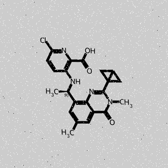 Cc1cc([C@@H](C)Nc2ccc(Cl)nc2C(=O)O)c2nc(C34CC3C4)n(C)c(=O)c2c1